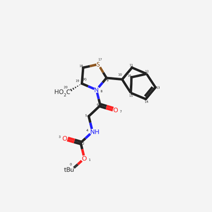 CC(C)(C)OC(=O)NCC(=O)N1C(C2CC3C=CC2C3)SC[C@H]1C(=O)O